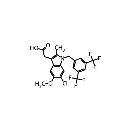 COc1cc2c(CC(=O)O)c(C)n(Cc3cc(C(F)(F)F)cc(C(F)(F)F)c3)c2cc1Cl